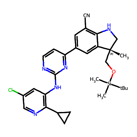 CC(C)(C)[Si](C)(C)OC[C@@]1(C)CNc2c(C#N)cc(-c3ccnc(Nc4cc(Cl)cnc4C4CC4)n3)cc21